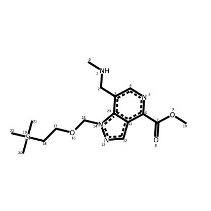 CNCc1cnc(C(=O)OC)c2cnn(COCC[Si](C)(C)C)c12